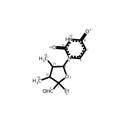 CCC1(C=O)OC(n2ccc(=O)[nH]c2=O)C(C)C1C